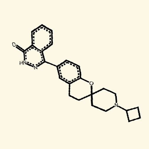 O=c1[nH]nc(-c2ccc3c(c2)CCC2(CCN(C4CCC4)CC2)O3)c2ccccc12